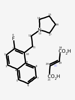 Fc1ccc2ccccc2c1CCN1CCCC1.O=C(O)/C=C/C(=O)O